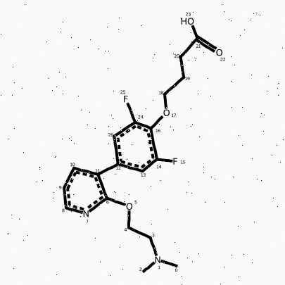 CN(C)CCOc1ncccc1-c1cc(F)c(OCCCC(=O)O)c(F)c1